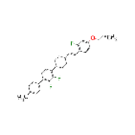 C=CCOc1ccc(/C=C/C2CCC(c3ccc(-c4ccc(C)cc4)c(F)c3F)CC2)c(F)c1